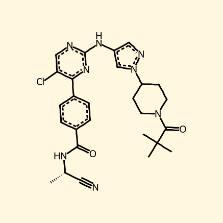 C[C@@H](C#N)NC(=O)c1ccc(-c2nc(Nc3cnn(C4CCN(C(=O)C(C)(C)C)CC4)c3)ncc2Cl)cc1